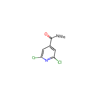 CNC(=O)c1cc(Cl)nc(Cl)c1